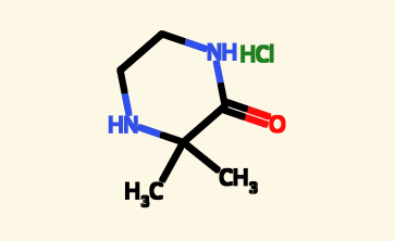 CC1(C)NCCNC1=O.Cl